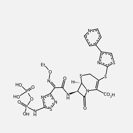 CCO/N=C(\C(=O)N[C@@H]1C(=O)N2C(C(=O)O)=C(Sc3nc(-c4ccncc4)cs3)CS[C@H]12)c1nsc(NP(=O)(O)OP(=O)(O)O)n1